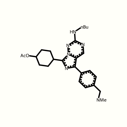 CCCCNc1ncc2c(-c3ccc(CNC)cc3)nc(C3CCC(OC(C)=O)CC3)n2n1